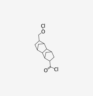 O=C(Cl)C1CC2CC1C1C3CC(COCl)C(C3)C21